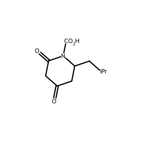 CC(C)CC1CC(=O)CC(=O)N1C(=O)O